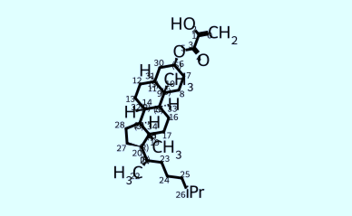 C=C(O)C(=O)O[C@H]1CC[C@@]2(C)[C@@H](CC[C@@H]3[C@@H]2CC[C@]2(C)[C@@H]([C@H](C)CCCC(C)C)CC[C@@H]32)C1